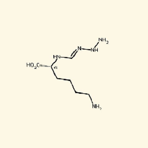 NCCCC[C@@H](NC=NNN)C(=O)O